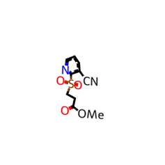 COC(=O)CCS(=O)(=O)c1ncccc1C#N